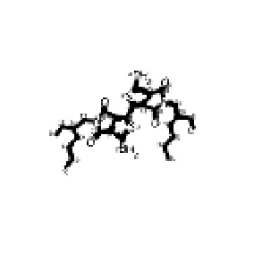 Bc1sc(-c2sc(B)c3c2C(=O)N(CC(CC)CCCC)C3=O)c2c1C(=O)N(CC(CC)CCCC)C2=O